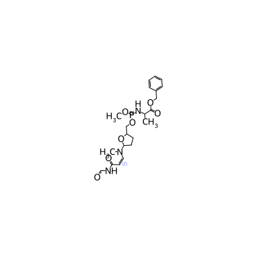 CO[P@@](NC(C)C(=O)OCc1ccccc1)OCC1CCC(N(C)/C=C\C(=O)NC=O)O1